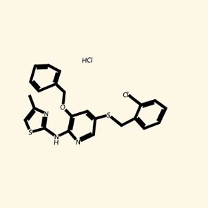 Cc1csc(Nc2ncc(SCc3ccccc3Cl)cc2OCc2ccccc2)n1.Cl